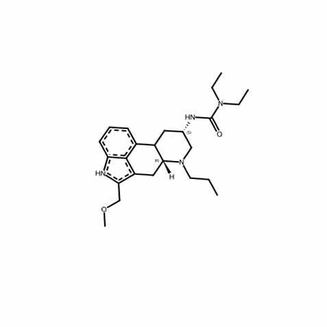 CCCN1C[C@@H](NC(=O)N(CC)CC)CC2c3cccc4[nH]c(COC)c(c34)C[C@H]21